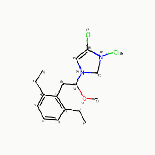 CCc1cccc(CC)c1CC(OC)N1C=C(Cl)N(Cl)C1